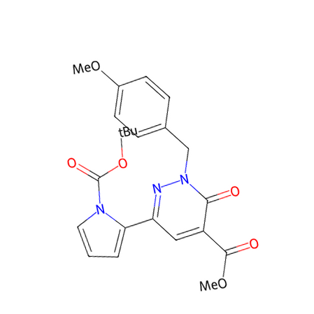 COC(=O)c1cc(-c2cccn2C(=O)OC(C)(C)C)nn(Cc2ccc(OC)cc2)c1=O